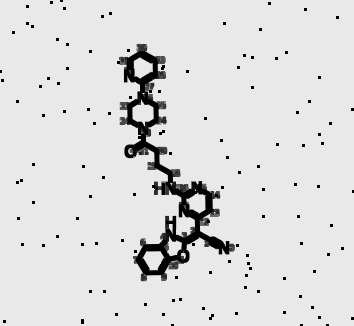 N#C/C(=C1/Nc2ccccc2O1)c1ccnc(NCCCC(=O)N2CCN(c3ccccn3)CC2)n1